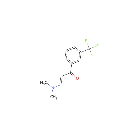 CN(C)C=CC(=O)c1cccc(C(F)(F)F)c1